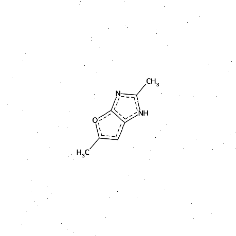 Cc1nc2oc(C)cc2[nH]1